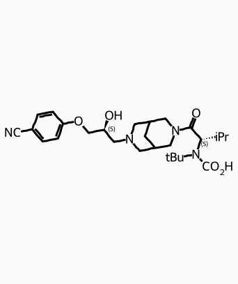 CC(C)[C@@H](C(=O)N1CC2CC(CN(C[C@H](O)COc3ccc(C#N)cc3)C2)C1)N(C(=O)O)C(C)(C)C